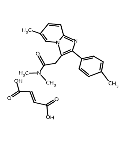 Cc1ccc(-c2nc3ccc(C)cn3c2CC(=O)N(C)C)cc1.O=C(O)/C=C/C(=O)O